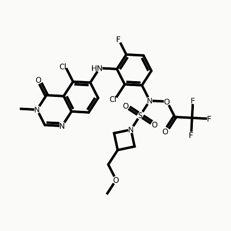 COCC1CN(S(=O)(=O)N(OC(=O)C(F)(F)F)c2ccc(F)c(Nc3ccc4ncn(C)c(=O)c4c3Cl)c2Cl)C1